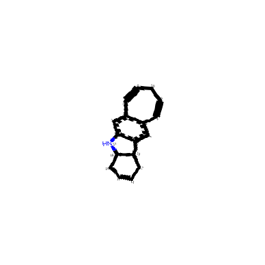 C1#Cc2cc3c(cc2C#CC1)C1CC=CCC1N3